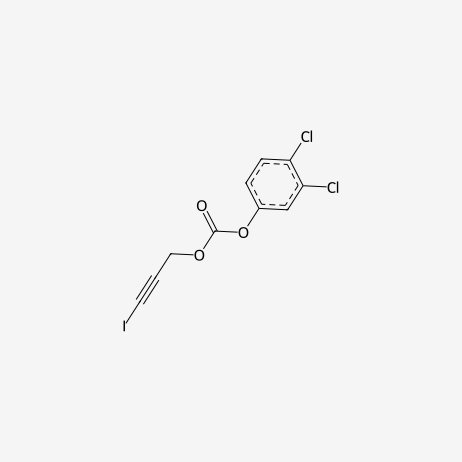 O=C(OCC#CI)Oc1ccc(Cl)c(Cl)c1